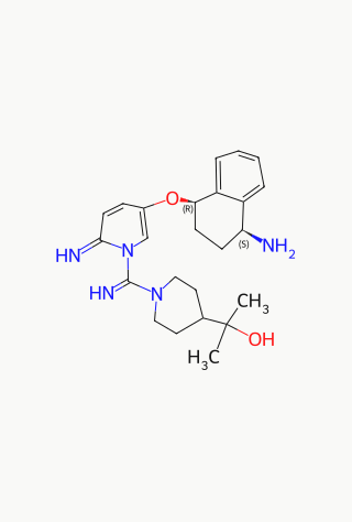 CC(C)(O)C1CCN(C(=N)n2cc(O[C@@H]3CC[C@H](N)c4ccccc43)ccc2=N)CC1